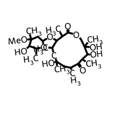 COC1(C)CC(OC2C(C)CC(C)(O)CC(C)C(=O)C(C)C(O)C(C)(O)COC(=O)C2C)OC(C)C1O